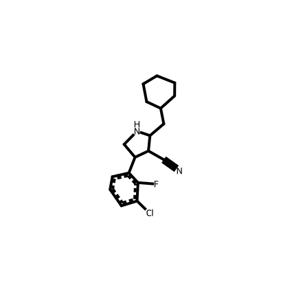 N#CC1C(CC2CCCCC2)NCC1c1cccc(Cl)c1F